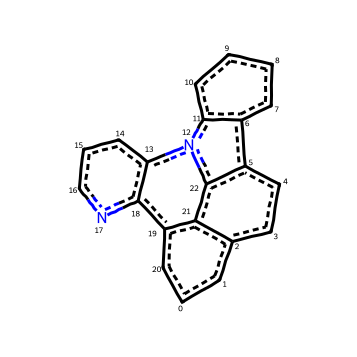 c1cc2ccc3c4ccccc4n4c5cccnc5c(c1)c2c34